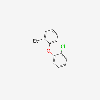 [CH2]Cc1ccccc1Oc1ccccc1Cl